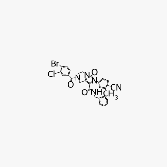 Cc1cc(-n2c(C(=O)NCc3ccccc3)c3n(c2=O)CCN(C(=O)c2ccc(Br)c(Cl)c2)C3)ccc1C#N